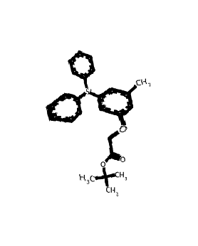 Cc1cc(OCC(=O)OC(C)(C)C)cc([S+](c2ccccc2)c2ccccc2)c1